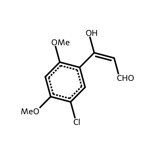 COc1cc(OC)c(/C(O)=C\C=O)cc1Cl